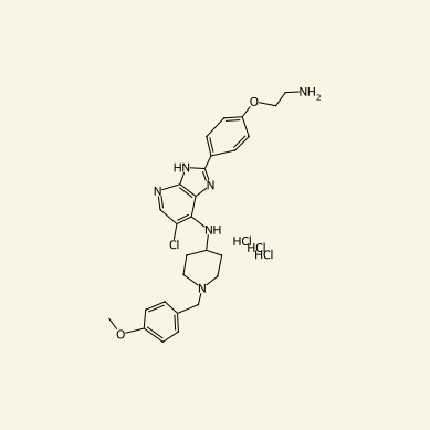 COc1ccc(CN2CCC(Nc3c(Cl)cnc4[nH]c(-c5ccc(OCCN)cc5)nc34)CC2)cc1.Cl.Cl.Cl